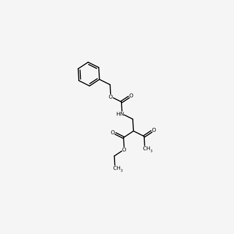 CCOC(=O)C(CNC(=O)OCc1ccccc1)C(C)=O